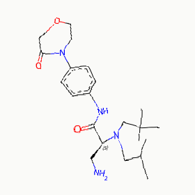 CC(C)CN(CC(C)(C)C)[C@@H](CN)C(=O)Nc1ccc(N2CCOCC2=O)cc1